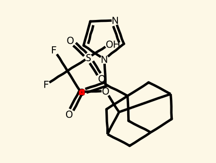 O=C(n1ccnc1)C12CC3CC(C1)C(OC(=O)C(F)(F)S(=O)(=O)O)C(C3)C2